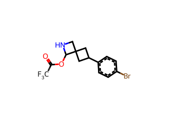 O=C(OC1NCC12CC(c1ccc(Br)cc1)C2)C(F)(F)F